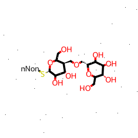 CCCCCCCCCS[C@@H]1OC(CO)[C@@H](COC[C@H]2OC(CO)[C@@H](O)C(O)C2O)C(O)C1O